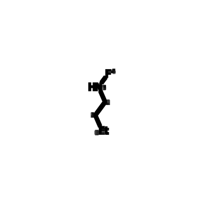 CCCCNF